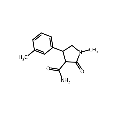 Cc1cccc(C2CN(C)C(=O)C2C(N)=O)c1